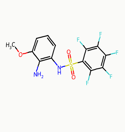 COc1cccc(NS(=O)(=O)c2c(F)c(F)c(F)c(F)c2F)c1N